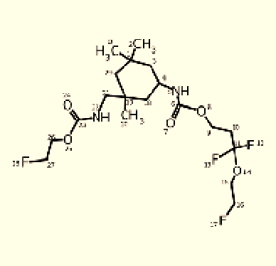 CC1(C)CC(NC(=O)OCCC(F)(F)OCCF)CC(C)(CNC(=O)OCCF)C1